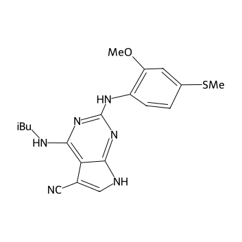 CCC(C)Nc1nc(Nc2ccc(SC)cc2OC)nc2[nH]cc(C#N)c12